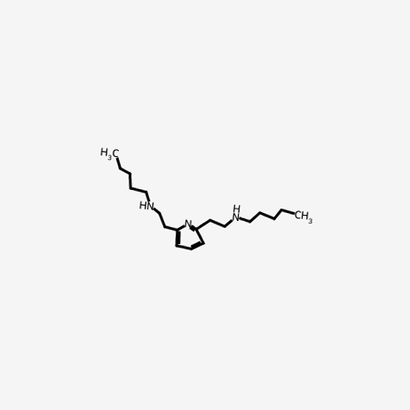 CCCCCNCCc1cccc(CCNCCCCC)n1